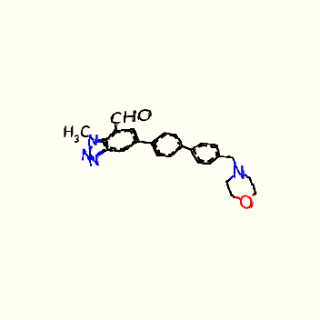 Cn1nnc2cc(-c3ccc(-c4ccc(CN5CCOCC5)cc4)cc3)cc(C=O)c21